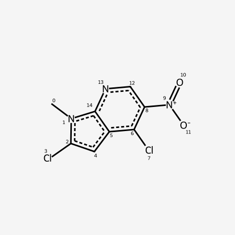 Cn1c(Cl)cc2c(Cl)c([N+](=O)[O-])cnc21